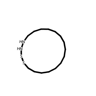 C1CCCCCCCNNSSCCCCCCC1